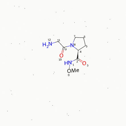 CONC(=O)[C@@H]1CCCN1C(=O)CN